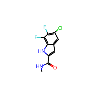 CNC(=O)c1cc2cc(Cl)c(F)c(F)c2[nH]1